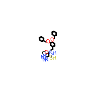 Cn1nnnc1C(S)C(=O)NCCc1ccc(OCc2ccccc2)c(OCc2ccccc2)c1